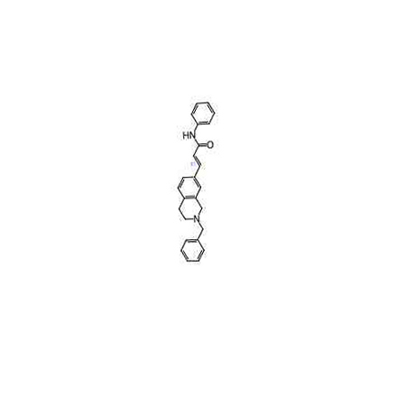 O=C(/C=C/c1ccc2c(c1)CN(Cc1ccccc1)CC2)Nc1ccccc1